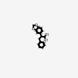 CCC(CC)C(Cc1ccccc1)c1ccc2c(c1)OCO2